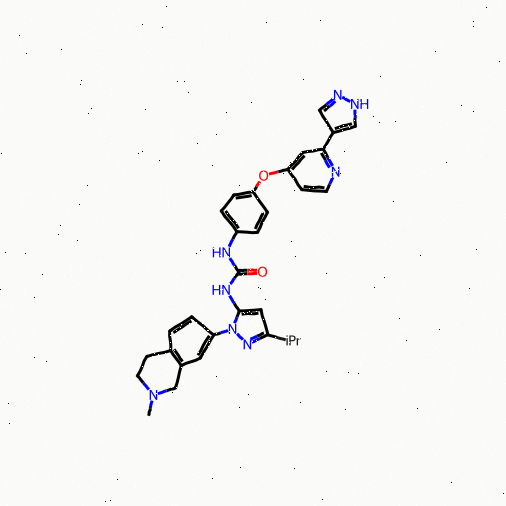 CC(C)c1cc(NC(=O)Nc2ccc(Oc3ccnc(-c4cn[nH]c4)c3)cc2)n(-c2ccc3c(c2)CN(C)CC3)n1